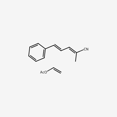 C=COC(C)=O.CC(C#N)=CC=Cc1ccccc1